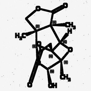 C[C@@]12COC(=O)[C@]1(C)[C@@H]1O[C@]3(C)[C@@H](O)O[C@]24OC(=O)C[C@]143